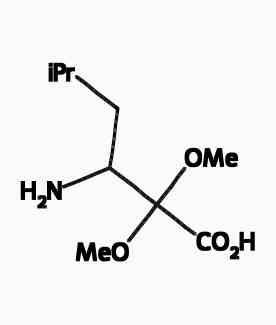 COC(OC)(C(=O)O)C(N)CC(C)C